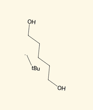 OCCCCCO.[CH2]C(C)(C)C